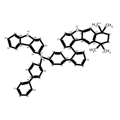 CC1(C)CCC(C)(C)c2cc3c(cc21)oc1cccc(-c2ccccc2-c2ccc(N(c4ccc(-c5ccccc5)cc4)c4ccc5sc6ccccc6c5c4)cc2)c13